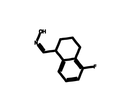 O/N=C\C1CCCc2c(F)cccc21